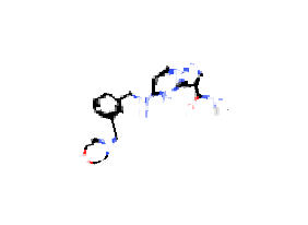 CC(C)NC(=O)c1cnn2ccc(NCc3cccc(CN4CCOCC4)c3)nc12